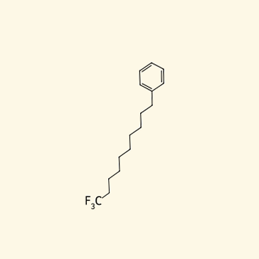 FC(F)(F)CCCCCCCCCc1ccccc1